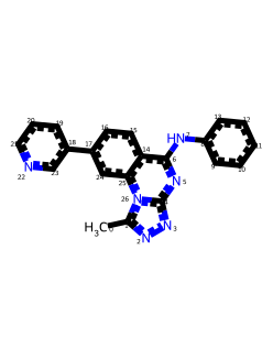 Cc1nnc2nc(Nc3ccccc3)c3ccc(-c4cccnc4)cc3n12